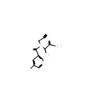 C#CCN(C(=O)c1cncc(C(F)(F)F)c1)C(C)C(N)=O